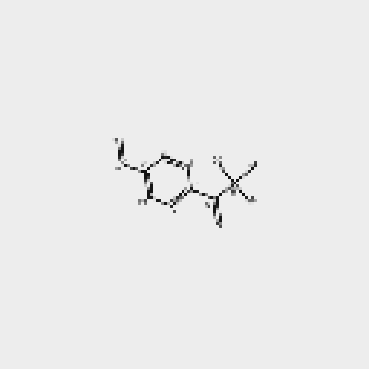 C=Cc1ccc(C(=C)C(C)(C)C)cc1